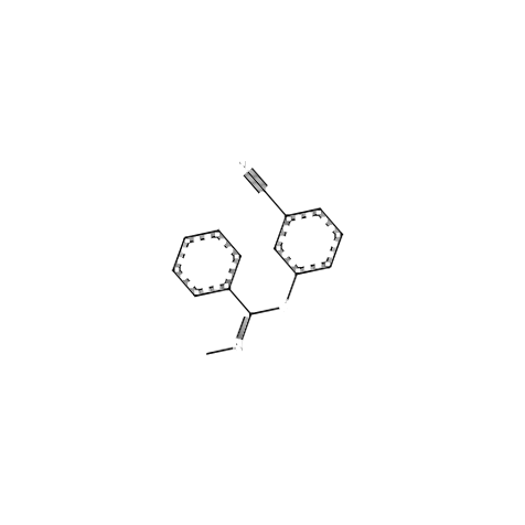 C/N=C(/Sc1cccc(C#N)c1)c1c[c]ccc1